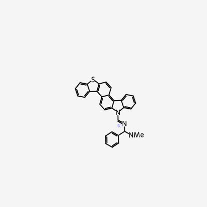 CNC(/N=C/n1c2ccccc2c2c3ccc4sc5ccccc5c4c3ccc21)c1ccccc1